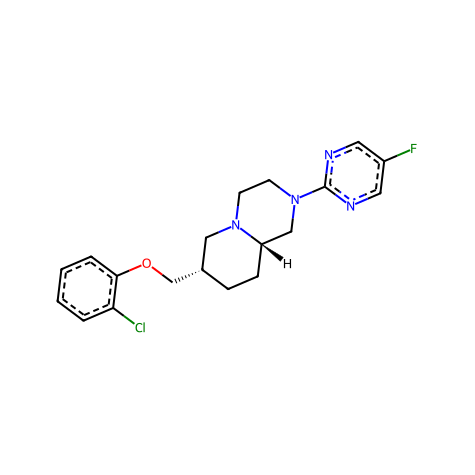 Fc1cnc(N2CCN3C[C@@H](COc4ccccc4Cl)CC[C@H]3C2)nc1